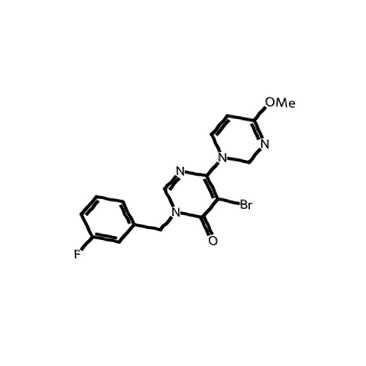 COC1=NCN(c2ncn(Cc3cccc(F)c3)c(=O)c2Br)C=C1